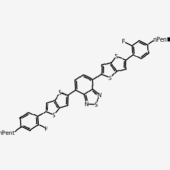 CCCCCc1ccc(-c2cc3sc(-c4ccc(-c5cc6sc(-c7ccc(CCCCC)cc7F)cc6s5)c5nsnc45)cc3s2)c(F)c1